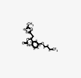 Cc1nnc(CC(OC(N)=O)c2cccc(OCCCC(F)(F)F)c2)o1